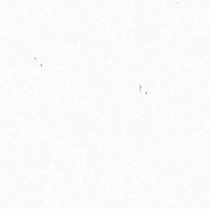 CN(C)CCSc1cn(S(=O)(=O)c2ccc(F)cc2)c2ccc(F)cc12